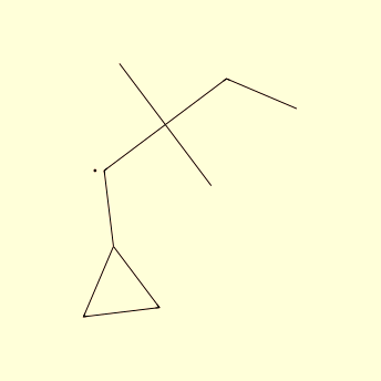 CCC(C)(C)[CH]C1CC1